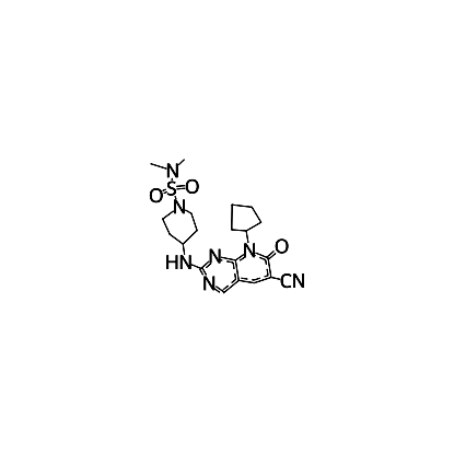 CN(C)S(=O)(=O)N1CCC(Nc2ncc3cc(C#N)c(=O)n(C4CCCC4)c3n2)CC1